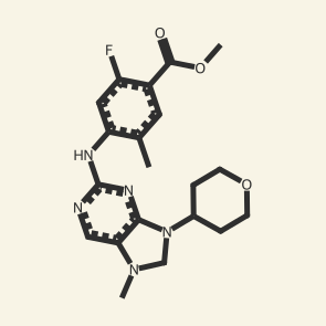 COC(=O)c1cc(C)c(Nc2ncc3c(n2)N(C2CCOCC2)CN3C)cc1F